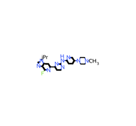 CC(C)n1cnc2c(F)nc(-c3ccnc(Nc4ccc(N5CCN(C)CC5)cn4)n3)cc21